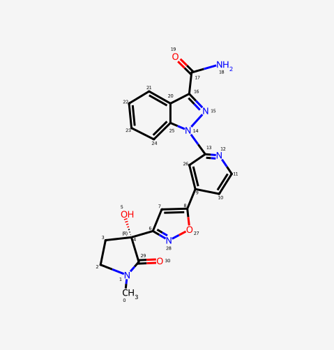 CN1CC[C@@](O)(c2cc(-c3ccnc(-n4nc(C(N)=O)c5ccccc54)c3)on2)C1=O